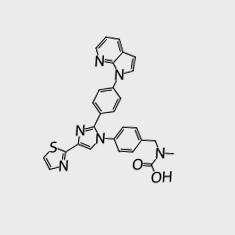 CN(Cc1ccc(-n2cc(-c3nccs3)nc2-c2ccc(-n3ccc4cccnc43)cc2)cc1)C(=O)O